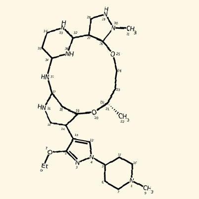 CCOc1nn(C2CCN(C)CC2)cc1C1CNC2CC1O[C@@H](C)CCOC1C(CNN1C)C1NCCC(N2)N1